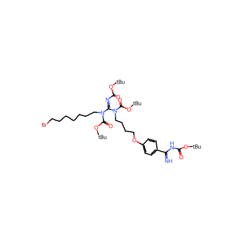 CC(C)(C)OC(=O)/N=C(/N(CCCCCCCBr)C(=O)OC(C)(C)C)N(CCCCOc1ccc(C(=N)NC(=O)OC(C)(C)C)cc1)C(=O)OC(C)(C)C